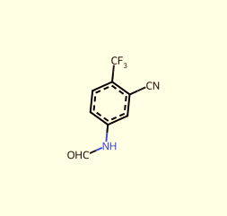 N#Cc1cc(NC=O)ccc1C(F)(F)F